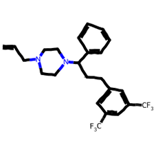 C=CCN1CCN(C([CH]Cc2cc(C(F)(F)F)cc(C(F)(F)F)c2)c2ccccc2)CC1